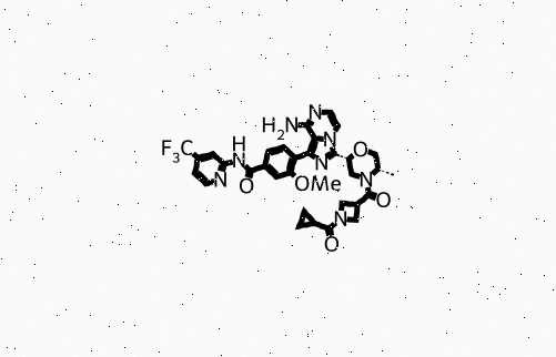 COc1cc(C(=O)Nc2cc(C(F)(F)F)ccn2)ccc1-c1nc([C@H]2CN(C(=O)C3CN(C(=O)C4CC4)C3)[C@@H](C)CO2)n2ccnc(N)c12